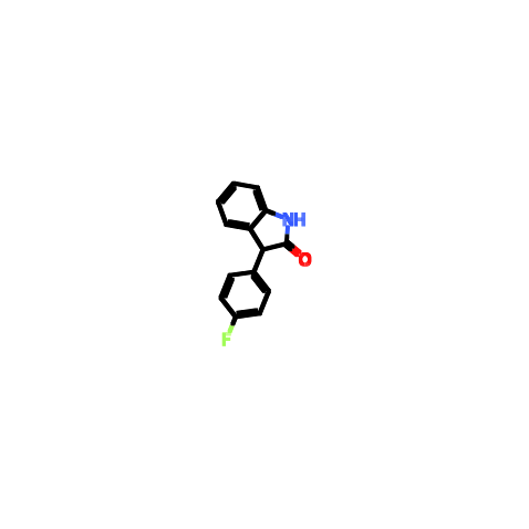 O=C1Nc2ccccc2C1c1ccc(F)cc1